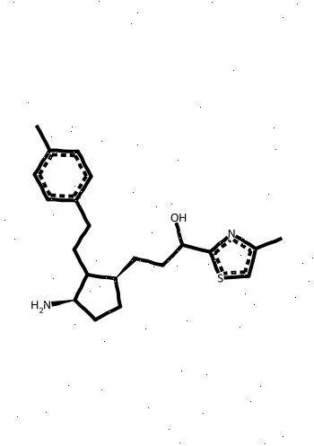 Cc1ccc(CCC2[C@@H](CCC(O)c3nc(C)cs3)CC[C@H]2N)cc1